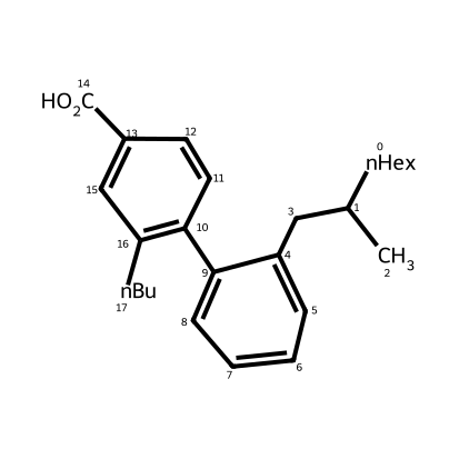 CCCCCCC(C)Cc1ccccc1-c1ccc(C(=O)O)cc1CCCC